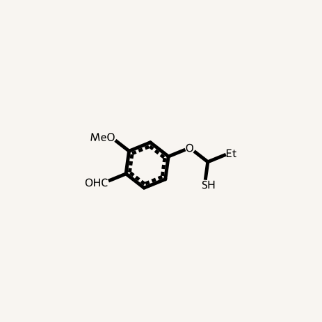 CCC(S)Oc1ccc(C=O)c(OC)c1